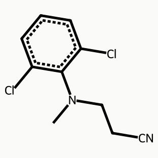 CN(CCC#N)c1c(Cl)cccc1Cl